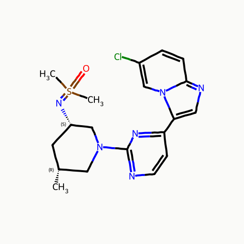 C[C@@H]1C[C@H](N=S(C)(C)=O)CN(c2nccc(-c3cnc4ccc(Cl)cn34)n2)C1